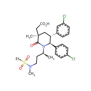 CCS(=O)(=O)N(C)CC[C@H](C)N1C(=O)[C@@](C)(CC(=O)O)C[C@H](c2cccc(Cl)c2)[C@H]1c1ccc(Cl)cc1